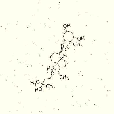 C[C@H](OCCC(C)(C)O)[C@H]1CC[C@H]2/C(=C/C=C3/C[C@@H](O)C[C@H](O)C3(C)C)CCC[C@]12C